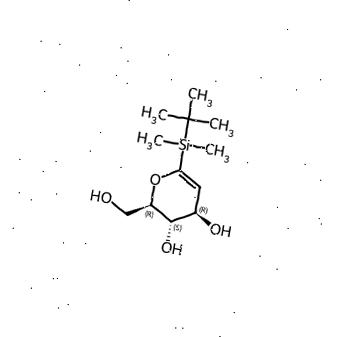 CC(C)(C)[Si](C)(C)C1=C[C@@H](O)[C@H](O)[C@@H](CO)O1